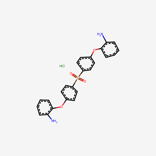 Cl.Nc1ccccc1Oc1ccc(S(=O)(=O)c2ccc(Oc3ccccc3N)cc2)cc1